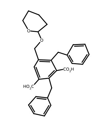 O=C(O)c1cc(COC2CCCCO2)c(Cc2ccccc2)c(C(=O)O)c1Cc1ccccc1